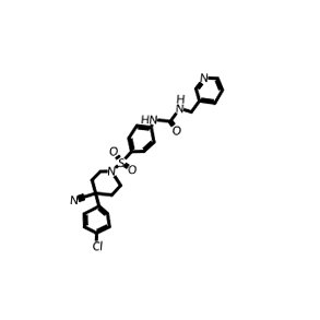 N#CC1(c2ccc(Cl)cc2)CCN(S(=O)(=O)c2ccc(NC(=O)NCc3cccnc3)cc2)CC1